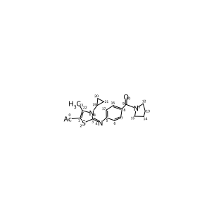 CC(=O)c1sc(=Nc2ccc(C(=O)N3CCCC3)cc2)n(C2CC2)c1C